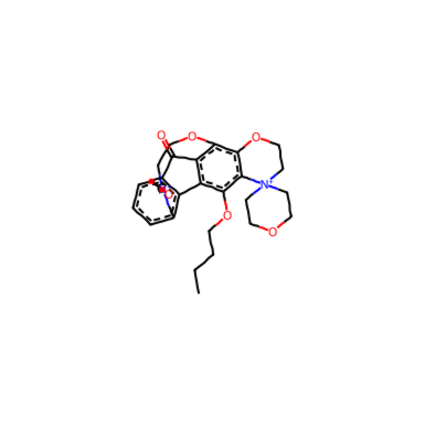 CCCCOc1c2c3c(c4c1[N+]1(CCOCC1)CCO4)OCC[N+]1(CCOCC1)c1cccc(c1-2)C3=O